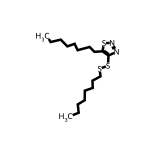 CCCCCCCCSSc1nnsc1CCCCCCCC